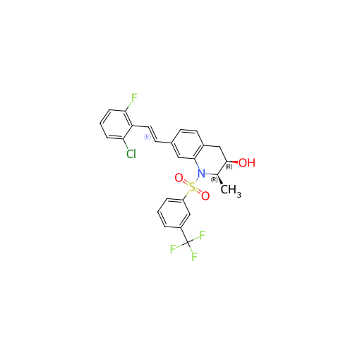 C[C@@H]1[C@H](O)Cc2ccc(/C=C/c3c(F)cccc3Cl)cc2N1S(=O)(=O)c1cccc(C(F)(F)F)c1